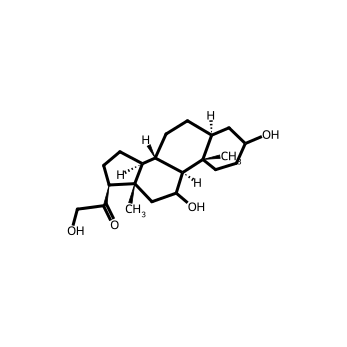 C[C@]12CCC(O)C[C@@H]1CC[C@H]1[C@@H]3CC[C@H](C(=O)CO)[C@@]3(C)CC(O)[C@@H]12